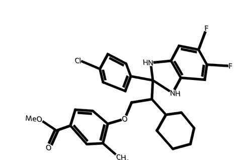 COC(=O)c1ccc(OCC(C2CCCCC2)C2(c3ccc(Cl)cc3)Nc3cc(F)c(F)cc3N2)c(C)c1